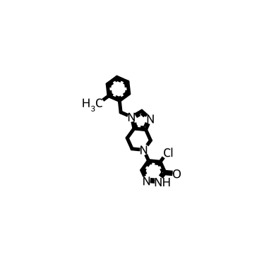 Cc1ccccc1Cn1cnc2c1CCN(c1cn[nH]c(=O)c1Cl)C2